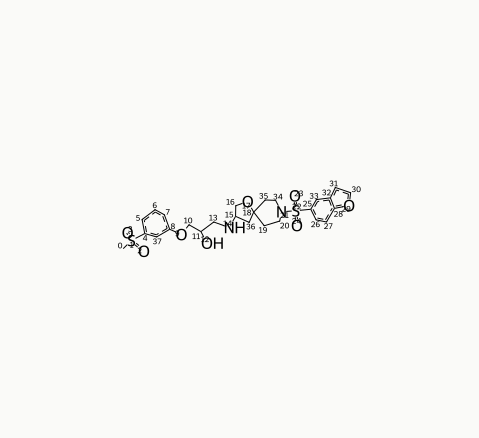 CS(=O)(=O)c1cccc(OCC(O)CNC2COC3(CCN(S(=O)(=O)c4ccc5occc5c4)CC3)C2)c1